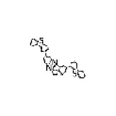 c1ccc2c(c1)sc1ccc(-c3ccc4nc5oc6ccc(-c7cccc8c7sc7ccccc78)cc6c5nc4c3)cc12